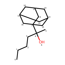 CCCCC(C)(O)C12CC3CC(CC(C3)C1)C2